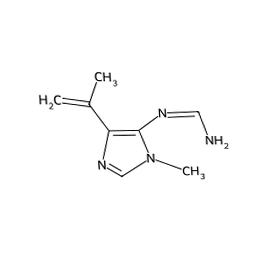 C=C(C)c1ncn(C)c1/N=C\N